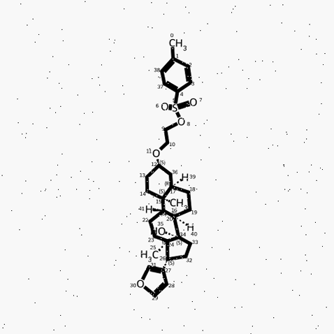 Cc1ccc(S(=O)(=O)OCCO[C@H]2CC[C@@]3(C)[C@H](CC[C@@H]4[C@@H]3CC[C@]3(C)[C@@H](c5ccoc5)CC[C@]43O)C2)cc1